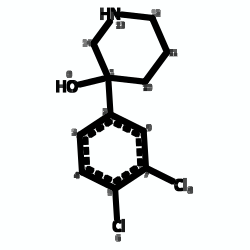 OC1(c2ccc(Cl)c(Cl)c2)CCCNC1